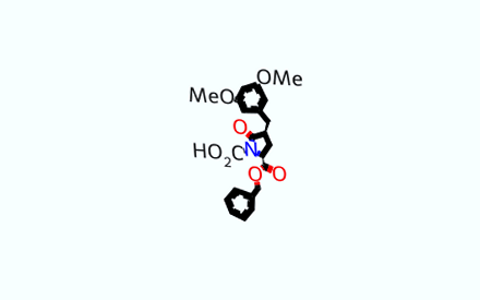 COc1cc(C[C@H]2C[C@H](C(=O)OCc3ccccc3)N(C(=O)O)C2=O)cc(OC)c1